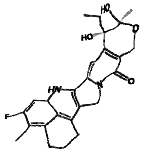 CC[C@]1(O)c2cc3n(c(=O)c2CO[C@]1(C)O)CC1=C3NC2C=C(F)C(C)=C3CCCC1=C32